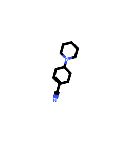 N#CC1=CCC(N2CCCCC2)CC1